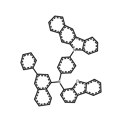 c1ccc(-c2cc(N(c3ccc(-n4c5ccccc5c5cc6ccccc6cc54)cc3)c3cccc4c3oc3ccccc34)c3ccccc3c2)cc1